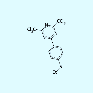 CCSc1ccc(-c2nc(C(Cl)(Cl)Cl)nc(C(Cl)(Cl)Cl)n2)cc1